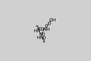 CCSCC(=O)NCCN(CCNC(=O)CSC(C)C)C(=O)CCC(=O)NCCOCCOCCO